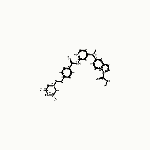 CNC(=O)n1ccc2cc(N(C)c3ccnc(NC(=O)c4ccc(CCN5C[C@@H](C)N[C@@H](C)C5)cc4)c3)ccc21